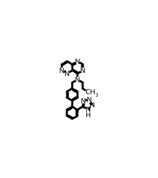 CCCN(Cc1ccc(-c2ccccc2-c2nnn[nH]2)cc1)c1ncnc2ccnnc12